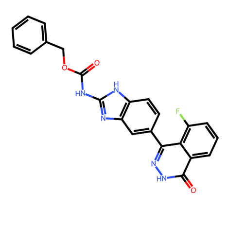 O=C(Nc1nc2cc(-c3n[nH]c(=O)c4cccc(F)c34)ccc2[nH]1)OCc1ccccc1